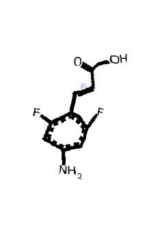 Nc1cc(F)c(/C=C/C(=O)O)c(F)c1